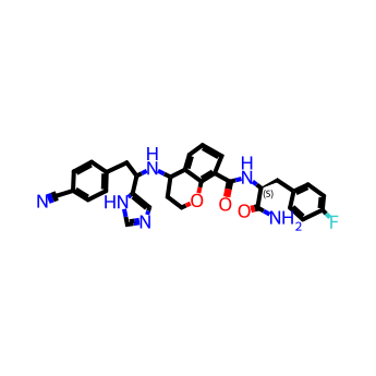 N#Cc1ccc(CC(NC2CCOc3c(C(=O)N[C@@H](Cc4ccc(F)cc4)C(N)=O)cccc32)c2cnc[nH]2)cc1